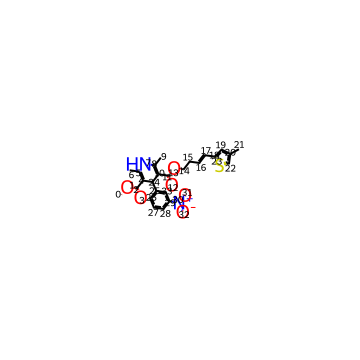 COC(=O)C1=C(C)NC(C)=C(C(=O)OCCC=Cc2cc(C)cs2)C1c1cccc([N+](=O)[O-])c1